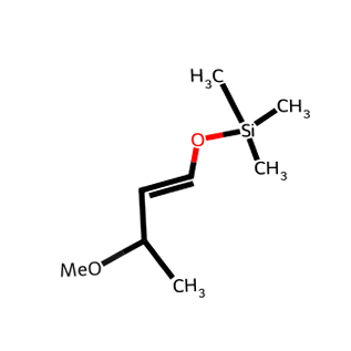 COC(C)C=CO[Si](C)(C)C